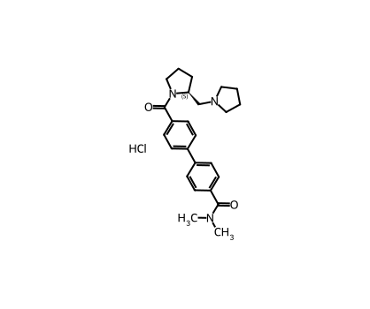 CN(C)C(=O)c1ccc(-c2ccc(C(=O)N3CCC[C@H]3CN3CCCC3)cc2)cc1.Cl